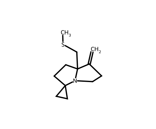 C=C1CCN2C3(CC3)CCC12CSC